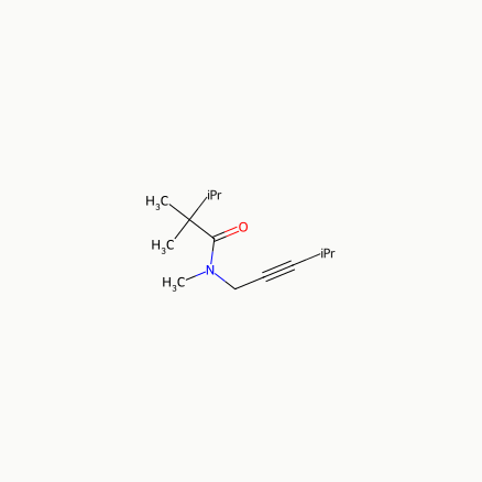 CC(C)C#CCN(C)C(=O)C(C)(C)C(C)C